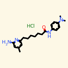 Cc1cc(N)nc(CCCCCCC(=O)Nc2ccc(N(C)C)cc2)c1.Cl